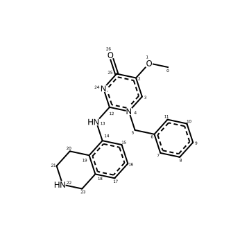 COc1cn(Cc2ccccc2)c(Nc2cccc3c2CCNC3)nc1=O